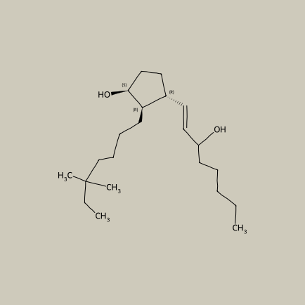 CCCCCC(O)C=C[C@H]1CC[C@H](O)[C@@H]1CCCCC(C)(C)CC